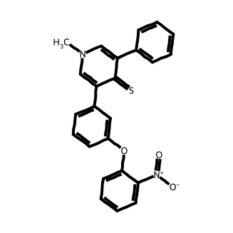 Cn1cc(-c2ccccc2)c(=S)c(-c2cccc(Oc3ccccc3[N+](=O)[O-])c2)c1